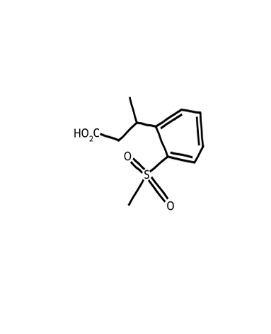 CC(CC(=O)O)c1ccccc1S(C)(=O)=O